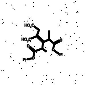 CC(C)OC(=O)C(C)C(=C(CC(=O)O)C(=O)O)C(C)C(=O)OC(C)C